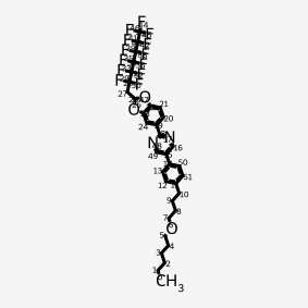 CCCCCCOCCCCc1ccc(-c2cnc(-c3ccc4c(c3)OC(CC(F)(F)C(F)(F)C(F)(F)C(F)(F)C(F)(F)C(F)(F)F)O4)nc2)cc1